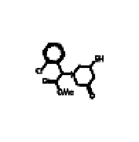 COC(=O)C(c1ccccc1Cl)N1CC(=O)CC(S)C1